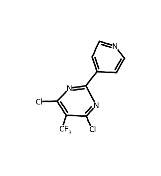 FC(F)(F)c1c(Cl)nc(-c2ccncc2)nc1Cl